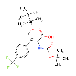 CC(C)(C)OC(=O)NC(C(=O)O)[C@@H](CO[Si](C)(C)C(C)(C)C)c1ccc(C(F)(F)F)cc1